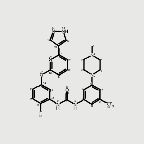 CN1CCN(c2cc(NC(=O)Nc3cc(Oc4cccc(-c5cn[nH]c5)n4)ccc3F)cc(C(F)(F)F)c2)CC1